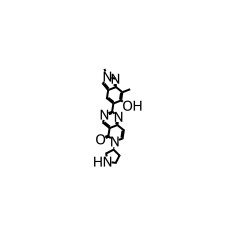 Cc1c(O)c(-c2ncc3c(=O)n([C@@H]4CCNC4)ccc3n2)cc2cn(C)nc12